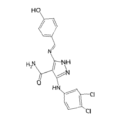 NC(=O)c1c(Nc2ccc(Cl)c(Cl)c2)n[nH]c1N=Cc1ccc(O)cc1